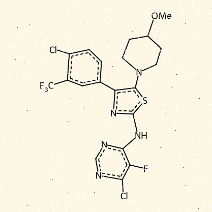 COC1CCN(c2sc(Nc3ncnc(Cl)c3F)nc2-c2ccc(Cl)c(C(F)(F)F)c2)CC1